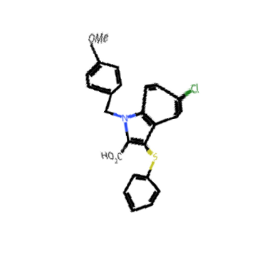 COc1ccc(Cn2c(C(=O)O)c(Sc3ccccc3)c3cc(Cl)ccc32)cc1